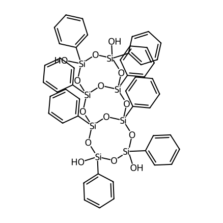 O[Si]1(c2ccccc2)O[Si](O)(c2ccccc2)O[Si]2(c3ccccc3)O[Si](c3ccccc3)(O1)O[Si]1(c3ccccc3)O[Si](O)(c3ccccc3)O[Si](O)(c3ccccc3)O[Si](c3ccccc3)(O1)O2